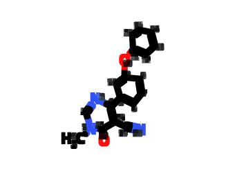 Cn1cnc(-c2cccc(Oc3ccccc3)c2)c(C#N)c1=O